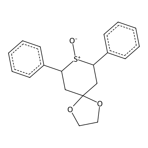 [O-][S+]1C(c2ccccc2)CC2(CC1c1ccccc1)OCCO2